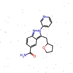 NC(=O)c1ccc2nn(-c3cccnc3)c(CC3CCCO3)c2c1